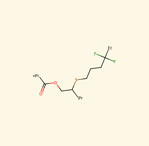 CCCC(=O)OCC(SCCCC(F)(F)CC)C(C)C